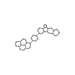 c1ccc2cc3c(cc2c1)oc1ccc(-c2ccc(-c4ccc5ccc6cccc7ccc4c5c67)cc2)cc13